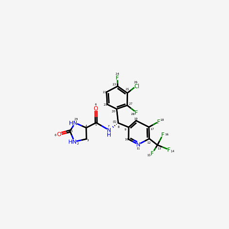 O=C1NCC(C(=O)N[C@@H](c2cnc(C(F)(F)F)c(F)c2)c2ccc(F)c(Cl)c2F)N1